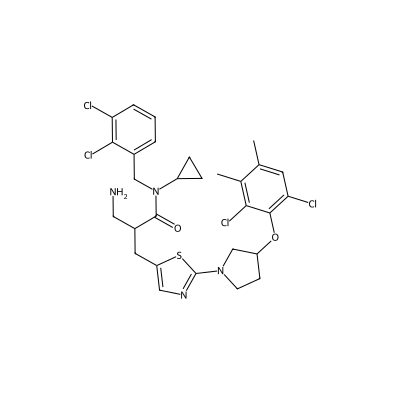 Cc1cc(Cl)c(OC2CCN(c3ncc(CC(CN)C(=O)N(Cc4cccc(Cl)c4Cl)C4CC4)s3)C2)c(Cl)c1C